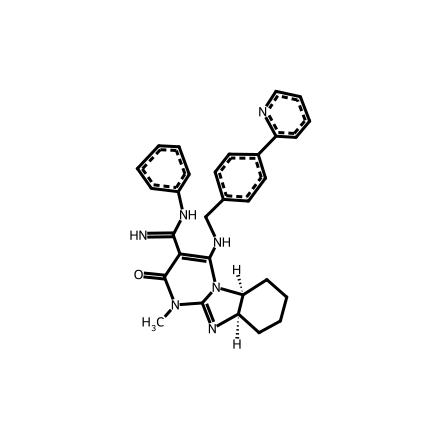 CN1C(=O)C(C(=N)Nc2ccccc2)=C(NCc2ccc(-c3ccccn3)cc2)N2C1=N[C@@H]1CCCC[C@@H]12